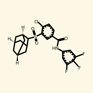 O=C(Nc1cc(F)c(F)c(F)c1)c1ccc(Cl)c(S(=O)(=O)C2C3C[C@H]4C[C@@H](C3)C[C@H]2C4)c1